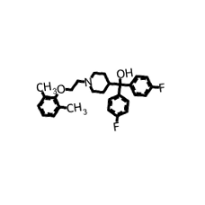 Cc1cccc(C)c1OCCN1CCC(C(O)(c2ccc(F)cc2)c2ccc(F)cc2)CC1